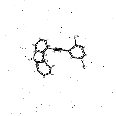 Fc1ccc(Br)cc1C#Cc1cccc2oc3ccccc3c12